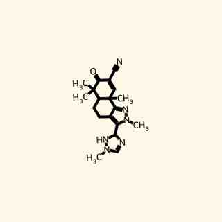 CN1C=NC(c2c3c(nn2C)C2(C)C=C(C#N)C(=O)C(C)(C)C2CC3)N1